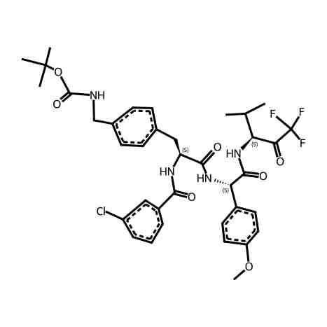 COc1ccc([C@H](NC(=O)[C@H](Cc2ccc(CNC(=O)OC(C)(C)C)cc2)NC(=O)c2cccc(Cl)c2)C(=O)N[C@H](C(=O)C(F)(F)F)C(C)C)cc1